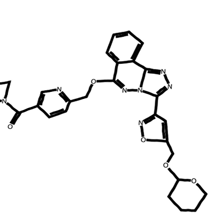 O=C(c1ccc(COc2nn3c(-c4cc(COC5CCCCO5)on4)nnc3c3ccccc23)nc1)N1CCC1